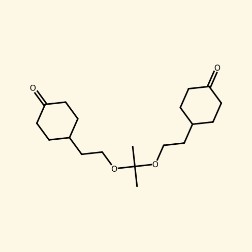 CC(C)(OCCC1CCC(=O)CC1)OCCC1CCC(=O)CC1